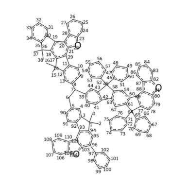 CC1(C)c2cc(CC(c3ccc4c(c3)C(C)(C)c3c5c(c6c(oc7ccccc76)c3-4)-c3ccccc3C5(C)C)c3ccc4c(c3)C(c3ccccc3)(c3ccccc3)c3cc5c(cc3-4)C(c3ccccc3)(c3ccccc3)c3ccc4oc6ccccc6c4c3-5)ccc2-c2c1cc(-c1ccccc1)c1oc3ccccc3c21